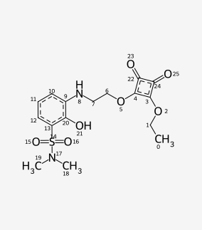 CCOc1c(OCCNc2cccc(S(=O)(=O)N(C)C)c2O)c(=O)c1=O